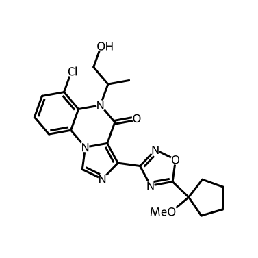 COC1(c2nc(-c3ncn4c3c(=O)n(C(C)CO)c3c(Cl)cccc34)no2)CCCC1